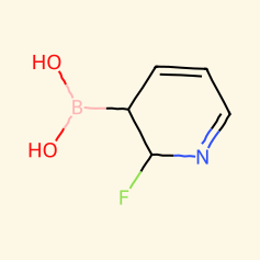 OB(O)C1C=CC=NC1F